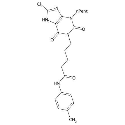 CCCCCn1c(=O)n(CCCCC(=O)Nc2ccc(C)cc2)c(=O)c2[nH]c(Cl)nc21